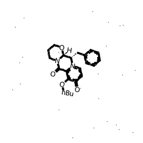 CCCCOc1c2n(ccc1=O)[C@@H](Cc1ccccc1)[C@@H]1OCCCN1C2=O